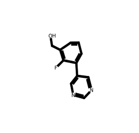 OCc1cccc(-c2cncnc2)c1F